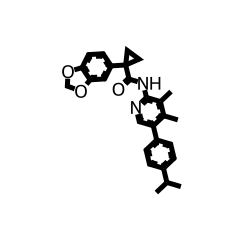 Cc1c(-c2ccc(C(C)C)cc2)cnc(NC(=O)C2(c3ccc4c(c3)OCO4)CC2)c1C